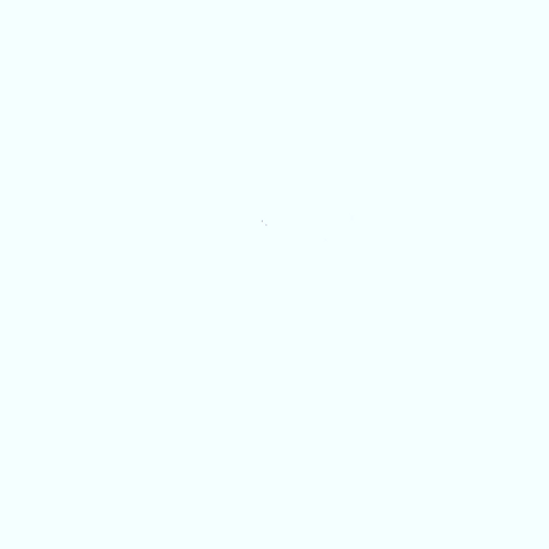 [CH2]C(CO)c1cccc(OCC)c1C#N